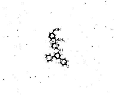 Cc1ccc(CO)cc1N(C)c1ccnc(Nc2cc(N3CCOCC3)cc(N3CCC(=O)CC3)c2)n1